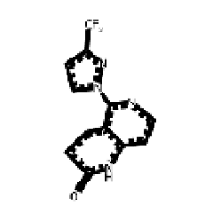 O=c1ccc2c(-n3ccc(C(F)(F)F)n3)nccc2[nH]1